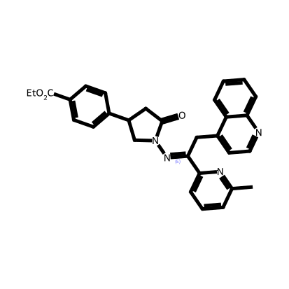 CCOC(=O)c1ccc(C2CC(=O)N(/N=C(\Cc3ccnc4ccccc34)c3cccc(C)n3)C2)cc1